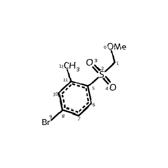 COCS(=O)(=O)c1ccc(Br)cc1C